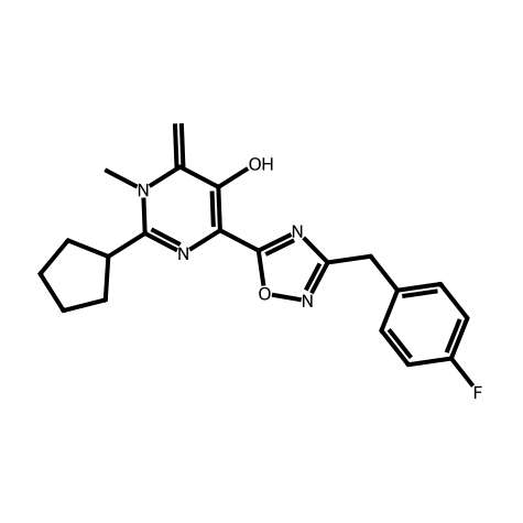 C=C1C(O)=C(c2nc(Cc3ccc(F)cc3)no2)N=C(C2CCCC2)N1C